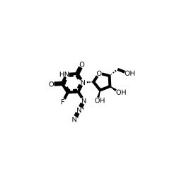 [N-]=[N+]=Nc1c(F)c(=O)[nH]c(=O)n1[C@@H]1O[C@H](CO)[C@@H](O)[C@H]1O